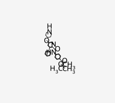 CC(C)(C)OC(=O)c1ccc(NC(=O)c2ncc(OC3CCNCC3)cc2-c2ccccc2)cc1